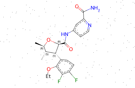 CCOc1c([C@@H]2[C@H](C)[C@@H](C)O[C@H]2C(=O)Nc2ccnc(C(N)=O)c2)ccc(F)c1F